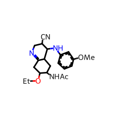 CCOC1CC2=NCC(C#N)C(Nc3cccc(OC)c3)C2CC1NC(C)=O